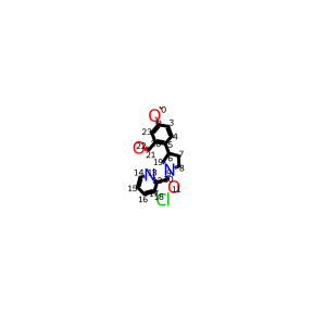 COc1ccc(C2CCN(C(=O)c3ncccc3Cl)C2)c(C=O)c1